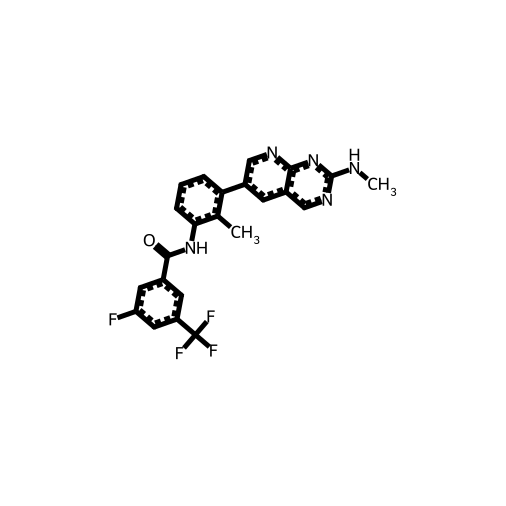 CNc1ncc2cc(-c3cccc(NC(=O)c4cc(F)cc(C(F)(F)F)c4)c3C)cnc2n1